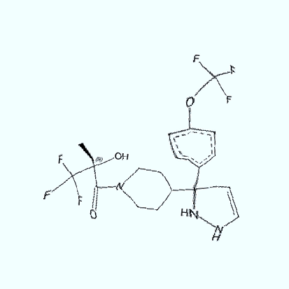 C[C@@](O)(C(=O)N1CCC(C2(c3ccc(OC(F)(F)F)cc3)C=CNN2)CC1)C(F)(F)F